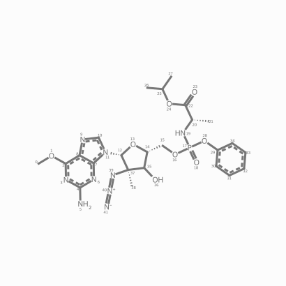 COc1nc(N)nc2c1ncn2[C@@H]1O[C@H](COP(=O)(N[C@@H](C)C(=O)OC(C)C)Oc2ccccc2)C(O)[C@@]1(C)N=[N+]=[N-]